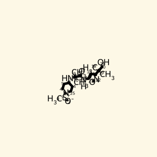 C[S+]([O-])N1CCC(NC(C)(C)C(=O)Nc2cc(C(C)(C)CO)no2)CC1